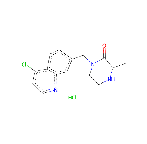 CC1NCCN(Cc2ccc3c(Cl)ccnc3c2)C1=O.Cl